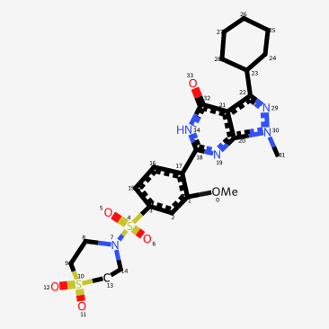 COc1cc(S(=O)(=O)N2CCS(=O)(=O)CC2)ccc1-c1nc2c(c(C3CCCCC3)nn2C)c(=O)[nH]1